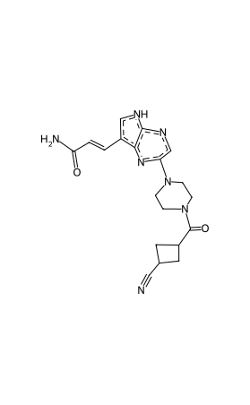 N#CC1CC(C(=O)N2CCN(c3cnc4[nH]cc(/C=C/C(N)=O)c4n3)CC2)C1